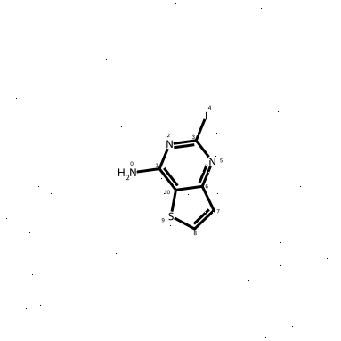 Nc1nc(I)nc2ccsc12